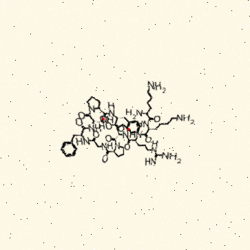 N=C(N)NCCC[C@H](NC(=O)[C@H](CCCCN)NC(=O)[C@@H](N)CCCCN)C(=O)N1CCC[C@H]1C(=O)N1CCC[C@H]1C(=O)NCC(=O)N[C@@H](Cc1ccccc1)C(=O)N[C@@H](CO)C(=O)N1CCC[C@H]1C(=O)N[C@H](Cc1ccccc1)C(=O)O